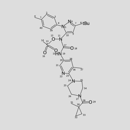 Cc1ccc(-n2nc(C(C)(C)C)cc2N(OS(C)(=O)=O)C(=O)Nc2cnc(N3CCN(C(=O)C4(C)CC4)CC3)c(C)c2)cc1